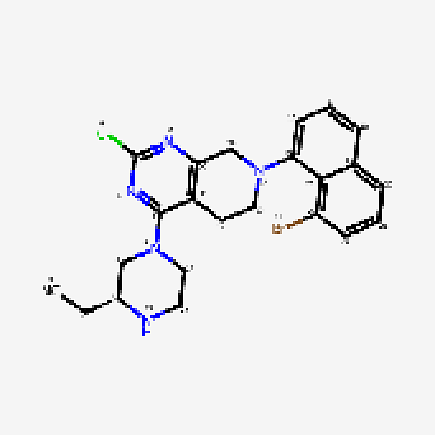 N#CC[C@H]1CN(c2nc(Cl)nc3c2CCN(c2cccc4cccc(Br)c24)C3)CCN1